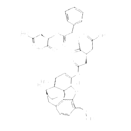 COc1ccc2c3c1O[C@@H]1C(OC(=O)C[C@H](CC(C)=O)C(=O)O[C@H](C(=O)O[C@H](CC(=O)O)C(=O)O)c4ccccc4)=CC[C@]4(O)[C@@H](CCC[C@@]314)C2